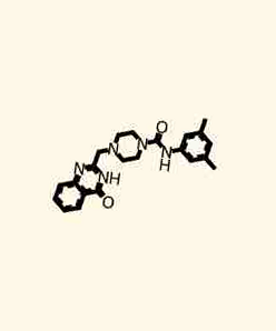 Cc1cc(C)cc(NC(=O)N2CCN(Cc3nc4ccccc4c(=O)[nH]3)CC2)c1